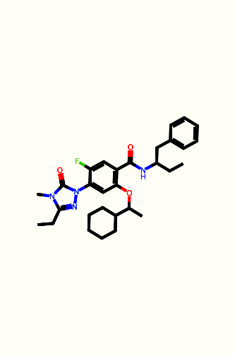 CCc1nn(-c2cc(OC(C)C3CCCCC3)c(C(=O)NC(CC)Cc3ccccc3)cc2F)c(=O)n1C